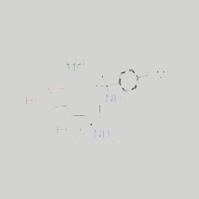 COc1ccc(C2(NCCC(N)(CCCCB(O)O)C(=O)O)CC2)cc1.Cl.Cl